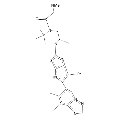 CNCC(=O)N1C[C@H](C)N(c2nc3c(C(C)C)c(-c4cn5ncnc5c(C)c4C)[nH]c3s2)CC1(C)C